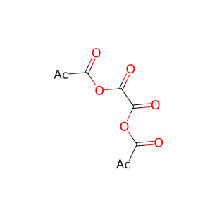 CC(=O)C(=O)OC(=O)C(=O)OC(=O)C(C)=O